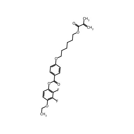 C=C(C)C(=O)OCCCCCCOc1ccc(C(=O)Oc2ccc(OCC)c(F)c2F)cc1